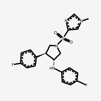 Cn1cnc(S(=O)(=O)N2C[C@H](Nc3ccc(F)cc3)[C@@H](c3ccc(F)cc3)C2)c1